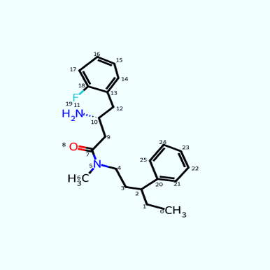 CCC(CCN(C)C(=O)C[C@H](N)Cc1ccccc1F)c1ccccc1